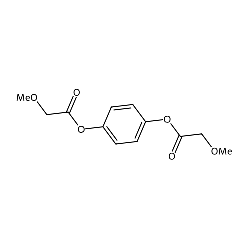 COCC(=O)Oc1ccc(OC(=O)COC)cc1